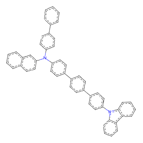 c1ccc(-c2ccc(N(c3ccc(-c4ccc(-c5ccc(-n6c7ccccc7c7ccccc76)cc5)cc4)cc3)c3ccc4ccccc4c3)cc2)cc1